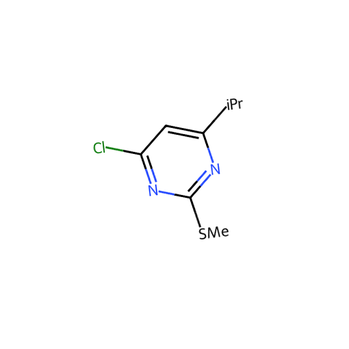 CSc1nc(Cl)cc(C(C)C)n1